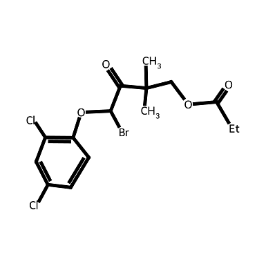 CCC(=O)OCC(C)(C)C(=O)C(Br)Oc1ccc(Cl)cc1Cl